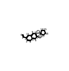 C=Cc1ccc2cc3c(cc2c1)OC1(CCCC1)O3